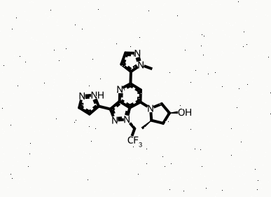 C[C@@H]1C[C@H](O)CN1c1cc(-c2ccnn2C)nc2c(-c3ccn[nH]3)nn(CC(F)(F)F)c12